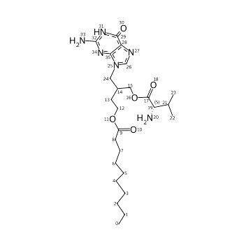 CCCCCCCCCC(=O)OCCC(COC(=O)[C@@H](N)C(C)C)Cn1cnc2c(=O)[nH]c(N)nc21